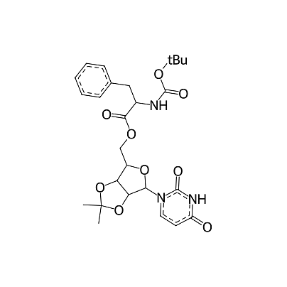 CC(C)(C)OC(=O)NC(Cc1ccccc1)C(=O)OCC1OC(n2ccc(=O)[nH]c2=O)C2OC(C)(C)OC12